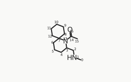 CNCC1CCCC2(CCCCC2)N1C(C)=O